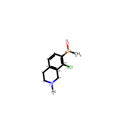 CC(=O)N1CCc2ccc([S+](C)[O-])c(Cl)c2C1